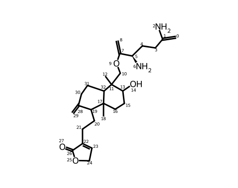 C=C(N)CC[C@@H](N)C(=C)OCC1(C)C(O)CCC2(C)C(CCC3=CCOC3=O)C(=C)CCC12